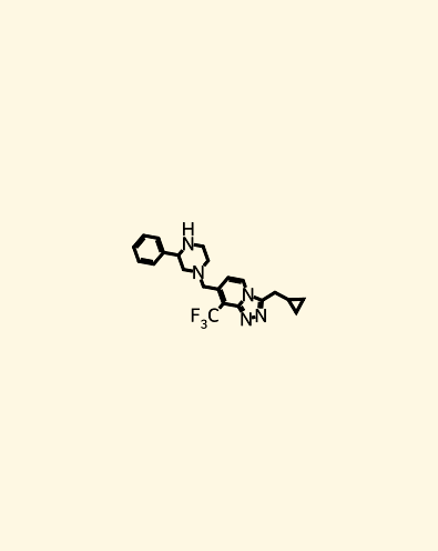 FC(F)(F)c1c(CN2CCNC(c3ccccc3)C2)ccn2c(CC3CC3)nnc12